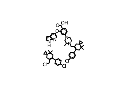 CC1(C)CC(c2ccc(Cl)cc2)=C(CCl)CC12CC2.CC1CN(c2ccc(C(=O)O)c(Oc3cnc4[nH]ccc4c3)c2)CCN1CC1=C(c2ccc(Cl)cc2)CC(C)(C)C2(CC2)C1